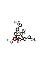 Cc1cccc(-c2ccc3c4ccc(-c5cccc(C)c5)cc4n(-c4cc(C(F)(F)F)cc(-n5c6cc(-c7cccc(C)c7)ccc6c6ccc(-c7cccc(C)c7)cc65)c4-c4cccc(C#N)c4)c3c2)c1